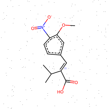 COc1cc(/C=C(/C(=O)O)C(C)C)ccc1[N+](=O)[O-]